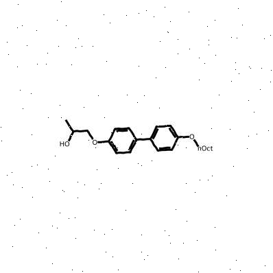 CCCCCCCCOc1ccc(-c2ccc(OCC(C)O)cc2)cc1